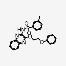 Cc1cccc(S(=O)(=O)Nc2nc3ccccc3nc2OCCOc2ccccc2)c1